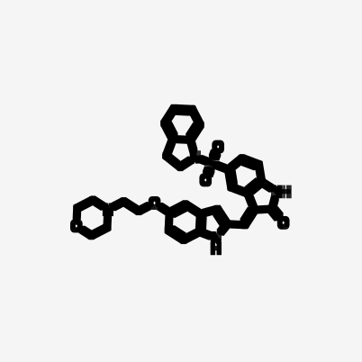 O=C1Nc2ccc(S(=O)(=O)N3CCc4ccccc43)cc2/C1=C\c1cc2cc(OCCN3CCOCC3)ccc2[nH]1